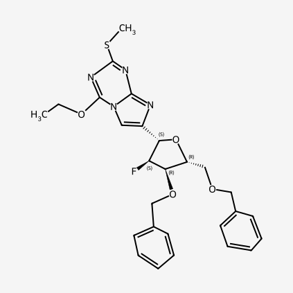 CCOc1nc(SC)nc2nc([C@@H]3O[C@H](COCc4ccccc4)[C@@H](OCc4ccccc4)[C@H]3F)cn12